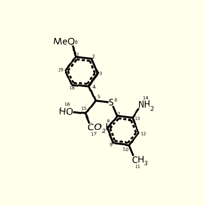 COc1ccc(C(Sc2ccc(C)cc2N)C(O)C(=O)O)cc1